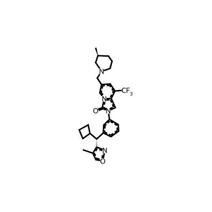 Cc1conc1[C@@H](c1cccc(-n2cc3c(C(F)(F)F)cc(CN4CCC[C@H](C)C4)cn3c2=O)c1)C1CCC1